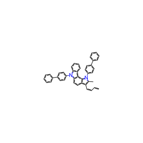 C=C/C=C\c1c(C)n(-c2ccc(-c3ccccc3)cc2)c2c1ccc1c2c2ccccc2n1-c1ccc(-c2ccccc2)cc1